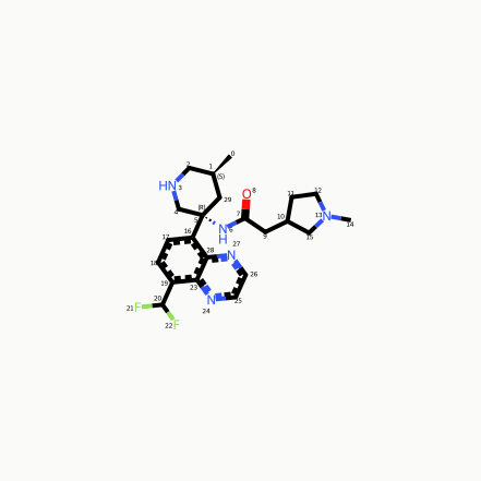 C[C@@H]1CNC[C@](NC(=O)CC2CCN(C)C2)(c2ccc(C(F)F)c3nccnc23)C1